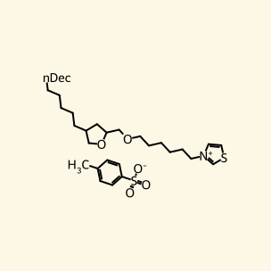 CCCCCCCCCCCCCCCC1COC(COCCCCCC[n+]2ccsc2)C1.Cc1ccc(S(=O)(=O)[O-])cc1